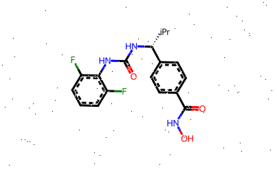 CC(C)[C@@H](NC(=O)Nc1c(F)cccc1F)c1ccc(C(=O)NO)cc1